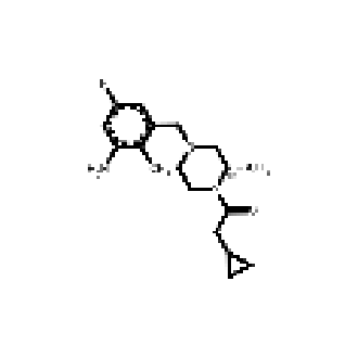 Cc1c(N)cc(F)cc1CN1CCN(C(=O)CC2CC2)[C@@H](C)C1